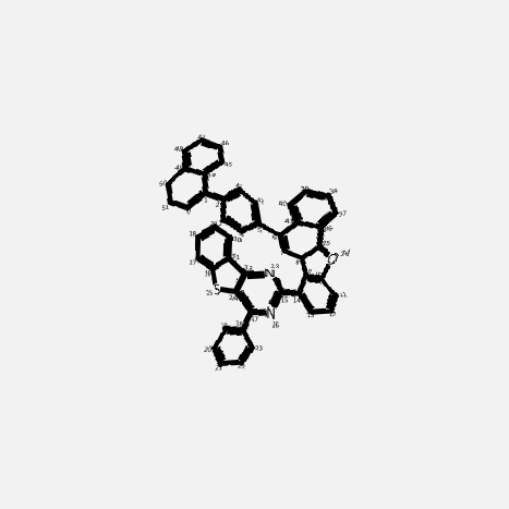 C1=C(c2ccc(C3=CC4c5c(cccc5-c5nc(-c6ccccc6)c6sc7ccccc7c6n5)OC4c4ccccc43)cc2)c2ccccc2CC1